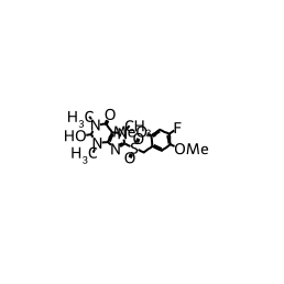 COc1cc(CS(=O)(=O)c2nc3c(n2C)C(=O)N(C)C(O)N3C)c(OC)cc1F